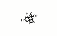 CC1(O)C2CCC23CNCC13